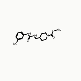 CC(C)(C)OC(=O)N1CCC(CNC(=O)Nc2cccc(C#N)c2)CC1